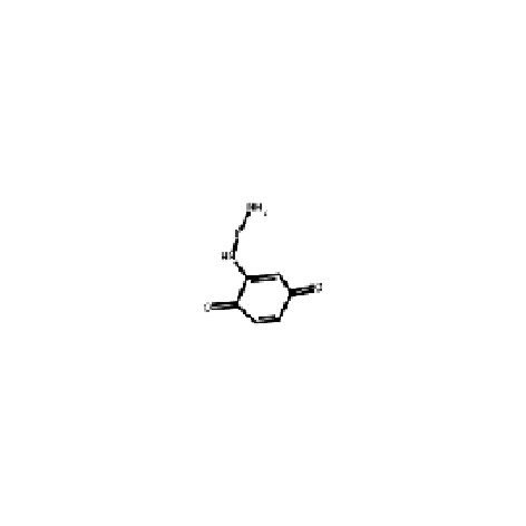 [NH2][Ir][NH]C1=CC(=O)C=CC1=O